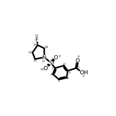 O=C(O)c1cccc(S(=O)(=O)N2CC[C@@H](F)C2)c1